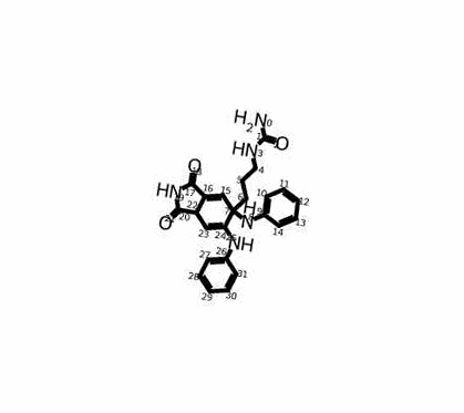 NC(=O)NCCCC1(Nc2ccccc2)C=C2C(=O)NC(=O)C2C=C1Nc1ccccc1